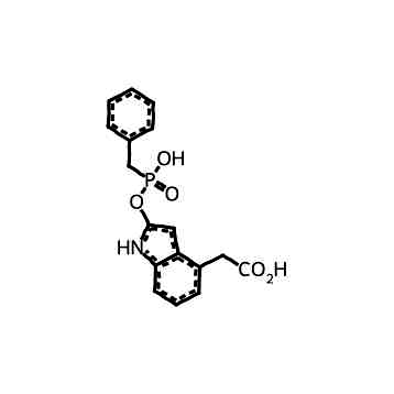 O=C(O)Cc1cccc2[nH]c(OP(=O)(O)Cc3ccccc3)cc12